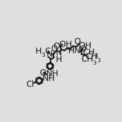 CN1CC(c2ccc(NC(=O)Nc3ccc(Cl)cc3)cc2)CC1C(=O)NC(C/C=C/CC(NC(=O)CC(C)(C)C)C(=O)O)C(=O)O